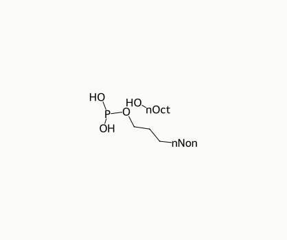 CCCCCCCCCCCCOP(O)O.CCCCCCCCO